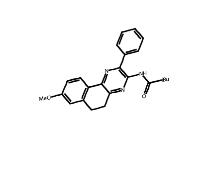 CCC(C)C(=O)Nc1nc2c(nc1-c1ccccc1)-c1ccc(OC)cc1CC2